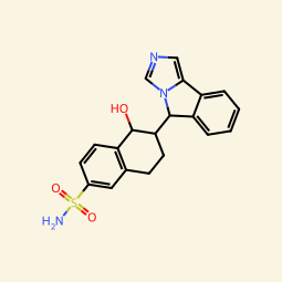 NS(=O)(=O)c1ccc2c(c1)CCC(C1c3ccccc3-c3cncn31)C2O